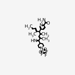 C=C/C=C(\C)C(C(=C)/C=C(\C)C(=N)C1CCN(S(=O)(=O)C(F)(F)F)CC1)c1ccc(C(N)=O)nc1